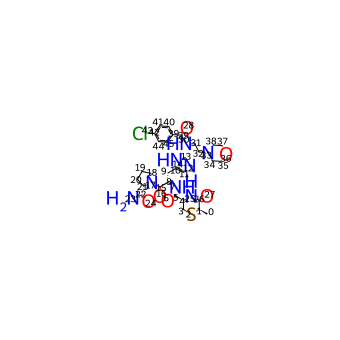 C[C@H]1SC[C@@H](C(=O)N[C@@H](Cc2cnc[nH]2)C(=O)N2CCC[C@H]2C(N)=O)NC1=O.O=C(NCCN1CCOCC1)c1ccc(Cl)cc1